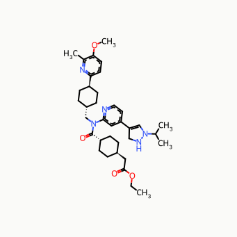 CCOC(=O)C[C@H]1CC[C@H](C(=O)N(C[C@H]2CC[C@H](c3ccc(OC)c(C)n3)CC2)c2cc(C3=CN(C(C)C)NC3)ccn2)CC1